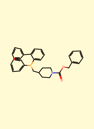 O=C(OCc1ccccc1)N1CCC(CP(c2ccccc2)c2ccccc2-c2ccccc2)CC1